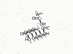 O=[C-]O.O=[C-]O.O=[C-]O.O=[C-]O.O=[C-]O.O=[C-]O.[W+6]